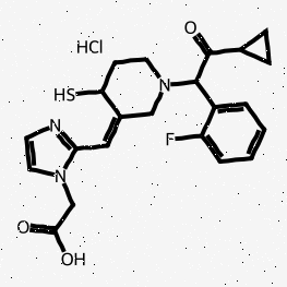 Cl.O=C(O)Cn1ccnc1C=C1CN(C(C(=O)C2CC2)c2ccccc2F)CCC1S